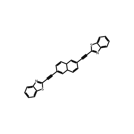 C(#Cc1nc2ccccc2s1)C1=CC2C=CC(C#Cc3nc4ccccc4s3)=CC2C=C1